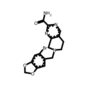 NC(=O)c1n[c]c2c(n1)CN(Cc1cc3c(cc1Br)OCO3)CC2